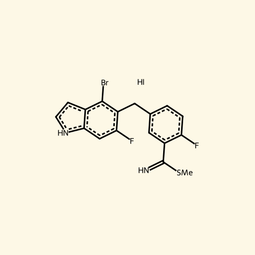 CSC(=N)c1cc(Cc2c(F)cc3[nH]ccc3c2Br)ccc1F.I